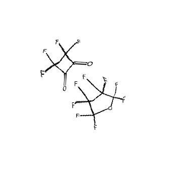 FC1(F)OC(F)(F)C(F)(F)C1(F)F.O=C1C(=O)C(F)(F)C1(F)F